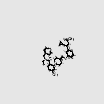 CCN(Cc1ccncc1)C(=O)c1ccc(O)cc1N1CCC(COc2cccc(C(CC(=O)O)C3CC3)c2)CC1